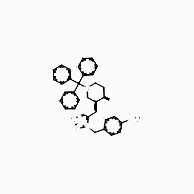 COc1ccc(Cn2nnnc2/C=C2\CN(C(c3ccccc3)(c3ccccc3)c3ccccc3)CCC2=O)cc1